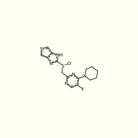 [O-][S+](Cc1ncc(F)c(N2CCCCC2)n1)c1nc2cscc2[nH]1